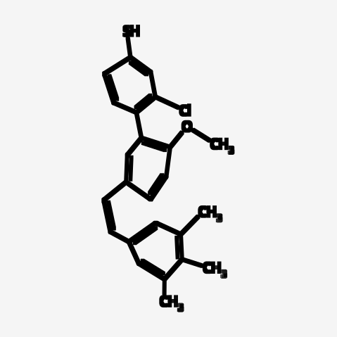 COc1ccc(/C=C\c2cc(C)c(C)c(C)c2)cc1-c1ccc(S)cc1Cl